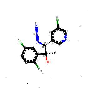 C[C@](O)(c1cc(F)ccc1F)[C@H](N=[N+]=[N-])c1cncc(Br)c1